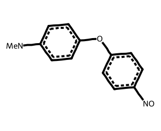 CNc1ccc(Oc2ccc(N=O)cc2)cc1